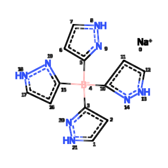 [Na+].c1cc([B-](c2cc[nH]n2)(c2cc[nH]n2)c2cc[nH]n2)n[nH]1